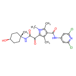 Cc1c(C(=O)Nc2cc(Cl)nc(Cl)c2)c(C)n(C)c1C(=O)C(=O)N[C@]1(C)CC[C@@H](O)CC1